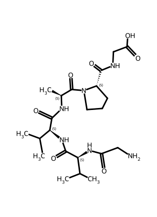 CC(C)[C@H](NC(=O)CN)C(=O)N[C@H](C(=O)N[C@@H](C)C(=O)N1CCC[C@H]1C(=O)NCC(=O)O)C(C)C